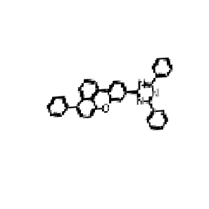 c1ccc(-c2nc(-c3ccccc3)nc(-c3ccc4c(c3)Oc3ccc(-c5ccccc5)c5cccc-4c35)n2)cc1